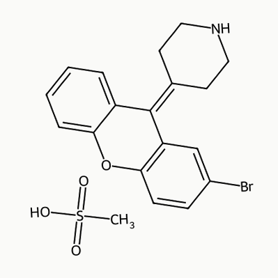 Brc1ccc2c(c1)C(=C1CCNCC1)c1ccccc1O2.CS(=O)(=O)O